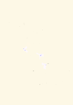 COc1ccc(F)cc1-c1cccc(Nc2c(C)noc2-c2ccccc2-c2ccc(C3(C(=O)O)CC3)cc2)n1